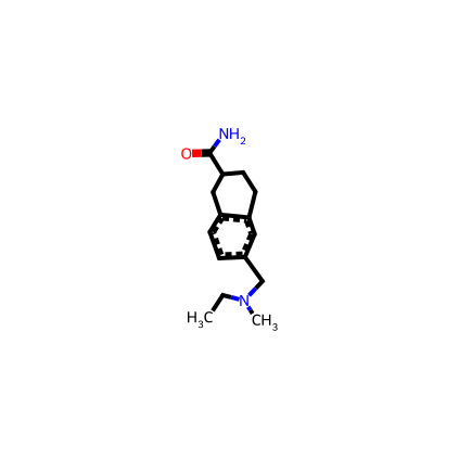 CCN(C)Cc1ccc2c(c1)CCC(C(N)=O)C2